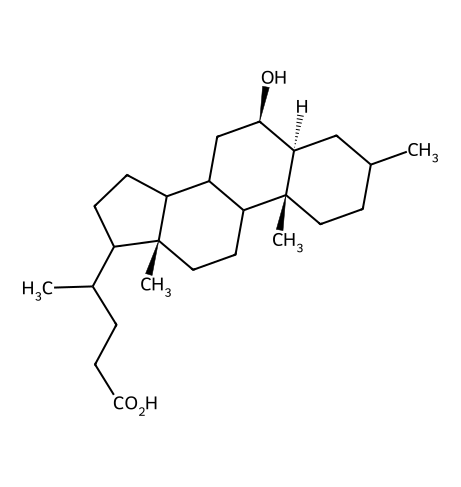 CC1CC[C@]2(C)C3CC[C@]4(C)C(C(C)CCC(=O)O)CCC4C3C[C@@H](O)[C@H]2C1